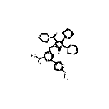 COc1ccc(-c2cc(Cn3c(C(=O)N4CCNCC4)c(-c4ccccc4)n(C4CCCCC4)c3=O)cc(N(C)C)n2)cn1